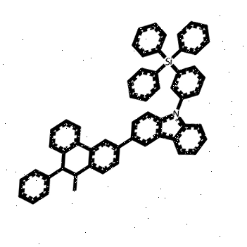 CC1c2ccc(-c3ccc4c(c3)c3ccccc3n4-c3cccc([Si](c4ccccc4)(c4ccccc4)c4ccccc4)c3)cc2-c2ccccc2C1c1ccccc1